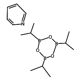 CC(C)B1OB(C(C)C)OB(C(C)C)O1.c1ccncc1